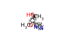 COc1ccc(B(C)O)cc1-c1cnc2cnccc2c1